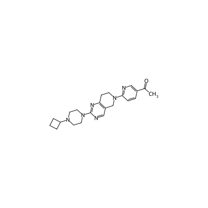 CC(=O)c1ccc(N2CCc3nc(N4CCN(C5CCC5)CC4)ncc3C2)nc1